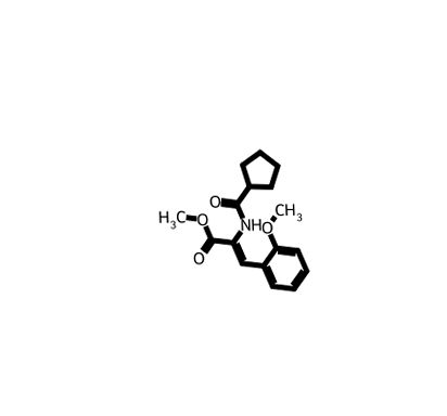 COC(=O)C(=Cc1ccccc1OC)NC(=O)C1CCCC1